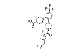 CCN1CC[C@](F)(C(=O)N2CCC(c3ccc(C(F)(F)F)cc3N3CCC(C(=O)O)CC3)CC2)C1